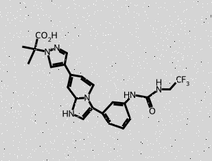 CC(C)(C(=O)O)n1cc(C2=CC3NC=C(c4cccc(NC(=O)NCC(F)(F)F)c4)N3C=C2)cn1